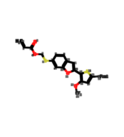 C=CC(=O)OCSc1ccc2cc(-c3sc(CCCCC)cc3OC(F)(F)F)oc2c1